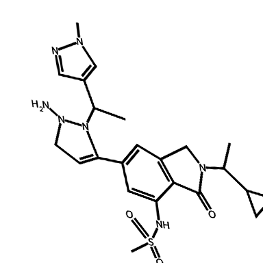 CC(C1CC1)N1Cc2cc(C3=CCN(N)N3C(C)c3cnn(C)c3)cc(NS(C)(=O)=O)c2C1=O